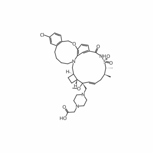 CO[C@@]1(CN2CCN(CC(=O)O)CC2)/C=C/C[C@H](C)[C@@H](C)S(=O)(=O)NC(=O)c2ccc3c(c2)N(CCCCc2cc(Cl)ccc2CO3)C[C@@H]2CC[C@H]21